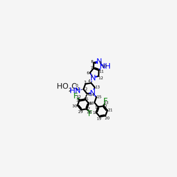 O=C(O)N[C@@H]1C[C@H](N2Cc3cn[nH]c3C2)CN(CCc2ccccc2F)[C@H]1c1cc(F)ccc1F